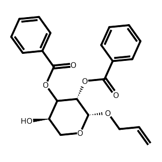 C=CCO[C@@H]1OC[C@@H](O)C(OC(=O)c2ccccc2)[C@@H]1OC(=O)c1ccccc1